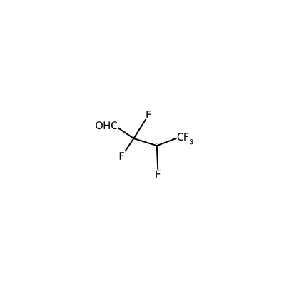 O=CC(F)(F)[C](F)C(F)(F)F